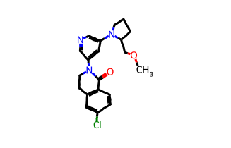 COCC1CCCN1c1cncc(N2CCc3cc(Cl)ccc3C2=O)c1